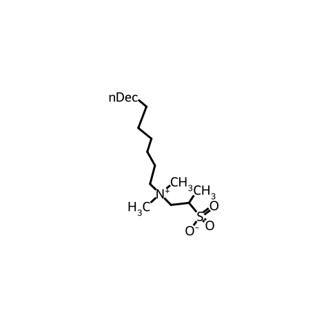 CCCCCCCCCCCCCCCC[N+](C)(C)CC(C)S(=O)(=O)[O-]